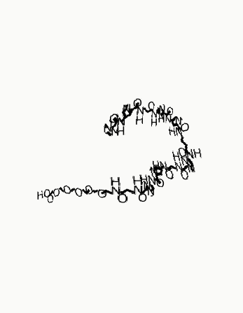 Cn1cc(NC(=O)c2nc(NC(=O)CCNC(=O)c3cc(NC(=O)c4nccn4C)cn3C)cn2C)cc1C(=O)NCCCC(=O)Nc1cn(C)c(C(=O)NCCC(=O)Nc2cc(C(=O)Nc3cn(C)c(C(=O)NCCC(=O)NCCOCCOCCOCCOCCOCC(=O)O)n3)n(C)c2)n1